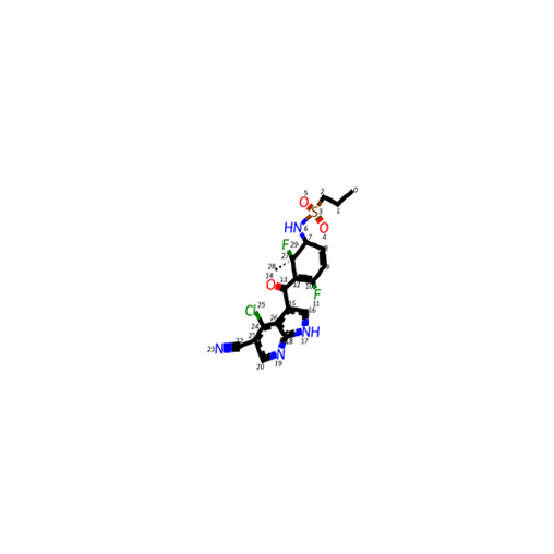 CCCS(=O)(=O)NC1C=CC(F)=C(C(=O)c2c[nH]c3ncc(C#N)c(Cl)c23)[C@@]1(C)F